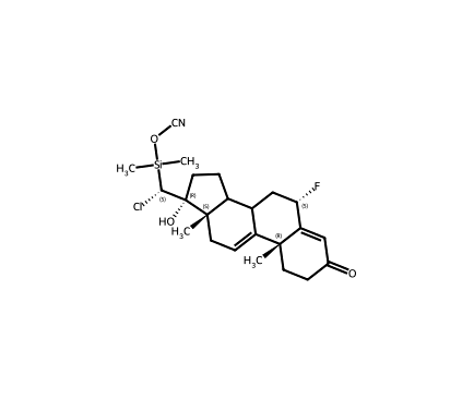 C[C@]12CCC(=O)C=C1[C@@H](F)CC1C2=CC[C@@]2(C)C1CC[C@]2(O)[C@H](Cl)[Si](C)(C)OC#N